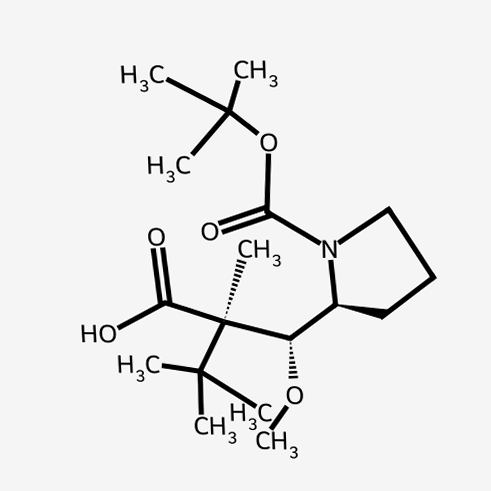 CO[C@@H]([C@@H]1CCCN1C(=O)OC(C)(C)C)[C@](C)(C(=O)O)C(C)(C)C